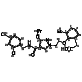 CCc1cccc(CC(=O)O)c1OCCn1cc(C(=O)NCc2ccc(Cl)cc2Cl)c(OC(C)C)n1